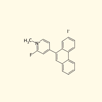 C[n+]1ccc(-c2cc3ccccc3c3ccccc23)cc1F.[I-]